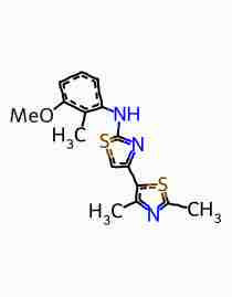 COc1cccc(Nc2nc(-c3sc(C)nc3C)cs2)c1C